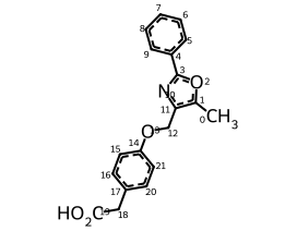 Cc1oc(-c2ccccc2)nc1COc1ccc(CC(=O)O)cc1